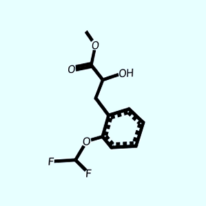 COC(=O)C(O)Cc1ccccc1OC(F)F